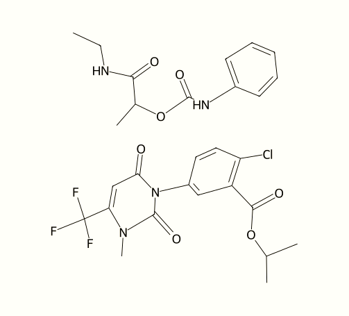 CC(C)OC(=O)c1cc(-n2c(=O)cc(C(F)(F)F)n(C)c2=O)ccc1Cl.CCNC(=O)C(C)OC(=O)Nc1ccccc1